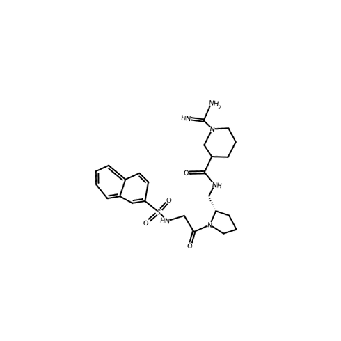 N=C(N)N1CCCC(C(=O)NC[C@@H]2CCCN2C(=O)CNS(=O)(=O)c2ccc3ccccc3c2)C1